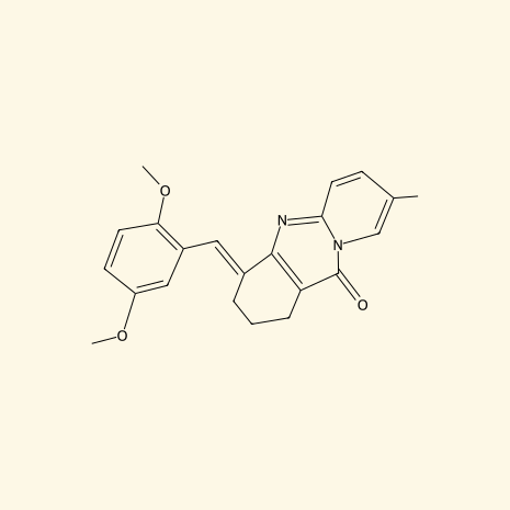 COc1ccc(OC)c(C=C2CCCc3c2nc2ccc(C)cn2c3=O)c1